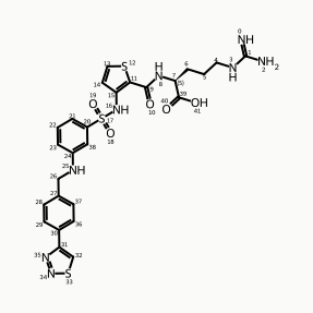 N=C(N)NCCC[C@H](NC(=O)c1sccc1NS(=O)(=O)c1cccc(NCc2ccc(-c3csnn3)cc2)c1)C(=O)O